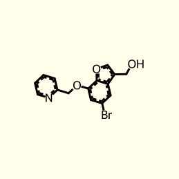 OCc1coc2c(OCc3ccccn3)cc(Br)cc12